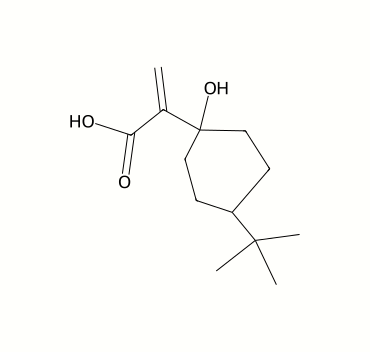 C=C(C(=O)O)C1(O)CCC(C(C)(C)C)CC1